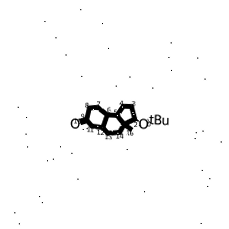 CC(C)(C)O[C@H]1CCC2C3CCC(=O)CC3CCC21C